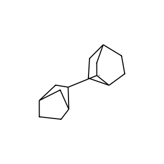 C1CC2CCC1C[C]2C1CC2CCC1C2